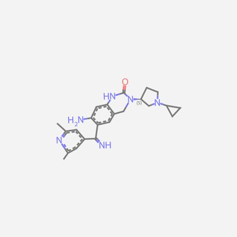 Cc1cc(C(=N)c2cc3c(cc2N)NC(=O)N([C@H]2CCN(C4CC4)C2)C3)cc(C)n1